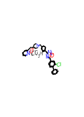 O=C(O)OC1(Cc2ccccn2)CCN(Cc2ccc(-c3noc(-c4ccc(-c5ccccc5)c(Cl)c4)n3)cc2)CC1